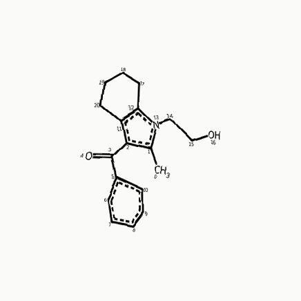 Cc1c(C(=O)c2ccccc2)c2c(n1CCO)CCCC2